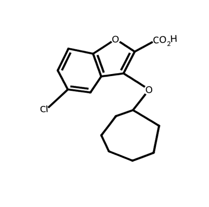 O=C(O)c1oc2ccc(Cl)cc2c1OC1CCCCCC1